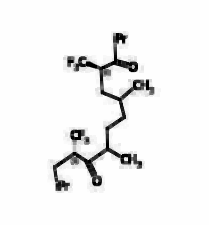 CC(C)C[C@@H](C(=O)C(C)CCC(C)C[C@H](C(=O)C(C)C)C(F)(F)F)C(F)(F)F